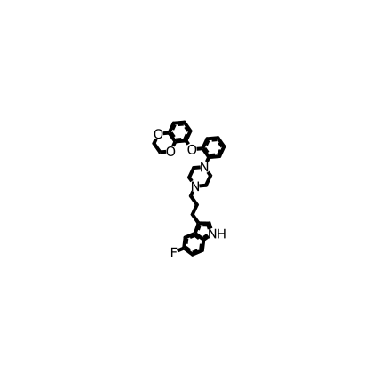 Fc1ccc2[nH]cc(CCCN3CCN(c4ccccc4Oc4cccc5c4OCCO5)CC3)c2c1